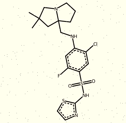 CC1(C)CN2CCCC2(CNc2cc(F)c(S(=O)(=O)Nc3nccs3)cc2Cl)C1